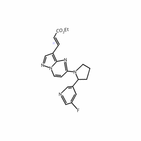 CCOC(=O)/C=C/c1cnn2ccc(N3CCCC3c3cncc(F)c3)nc12